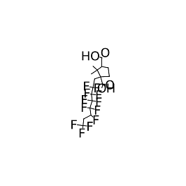 CC1(C)C(C(=O)O)CCC1(CC(F)(F)C(F)(F)C(F)(F)C(F)(F)C(F)CC(F)(F)F)C(=O)O